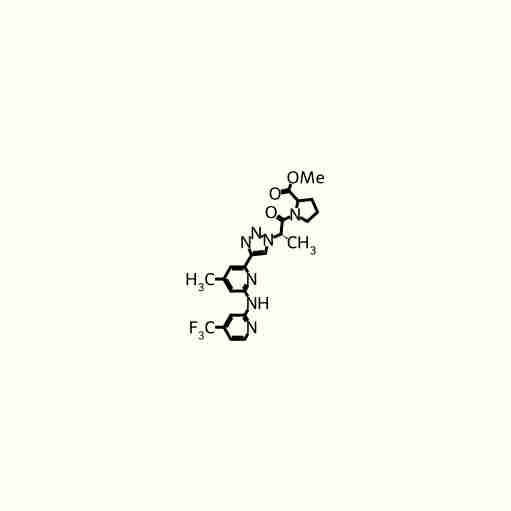 COC(=O)C1CCCN1C(=O)[C@H](C)n1cc(-c2cc(C)cc(Nc3cc(C(F)(F)F)ccn3)n2)nn1